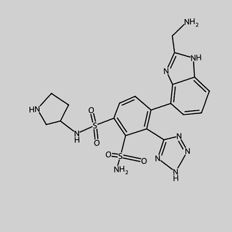 NCc1nc2c(-c3ccc(S(=O)(=O)NC4CCNC4)c(S(N)(=O)=O)c3-c3nn[nH]n3)cccc2[nH]1